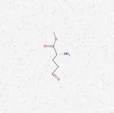 COC(=O)[C@H](N)CCC=O